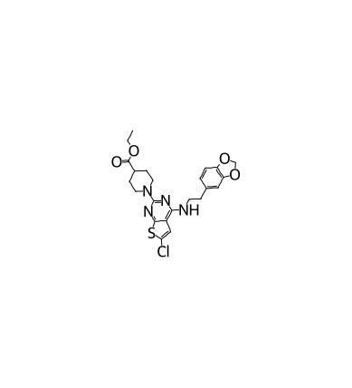 CCOC(=O)C1CCN(c2nc(NCCc3ccc4c(c3)OCO4)c3cc(Cl)sc3n2)CC1